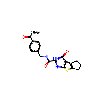 COC(=O)c1ccc(CNC(=O)c2nc3sc4c(c3c(=O)[nH]2)CCC4)cc1